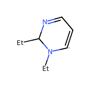 CCC1N=CC=[C]N1CC